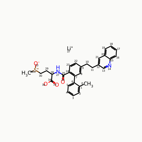 Cc1ccccc1-c1cc(CCc2cnc3ccccc3c2)ccc1C(=O)NC(CC[S+](C)[O-])C(=O)[O-].[Li+]